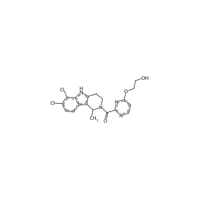 CC1c2c([nH]c3c(Cl)c(Cl)ccc23)CCN1C(=O)c1nccc(OCCO)n1